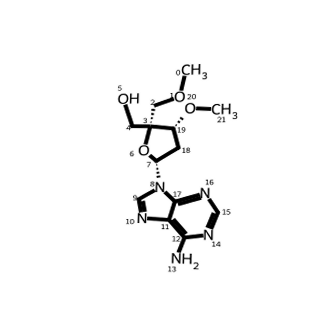 COC[C@@]1(CO)O[C@@H](n2cnc3c(N)ncnc32)C[C@H]1OC